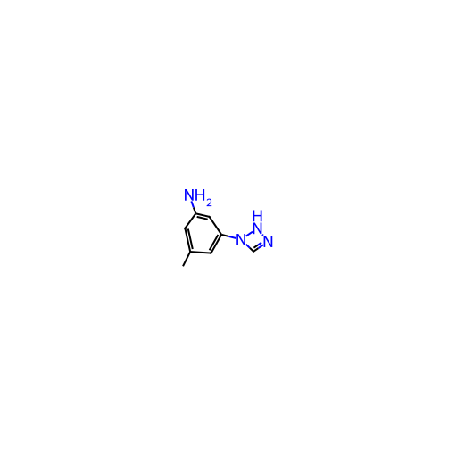 Cc1cc(N)cc(-n2cn[nH]2)c1